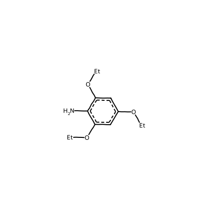 CCOc1cc(OCC)c(N)c(OCC)c1